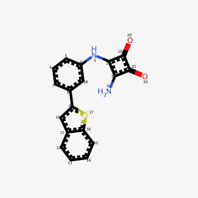 Nc1c(Nc2cccc(-c3cc4ccccc4s3)c2)c(=O)c1=O